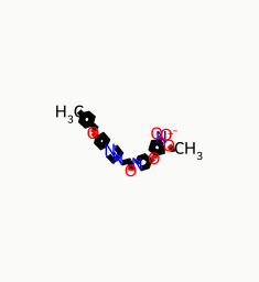 CCOc1cc(OC2CCN(C(=O)CCN3CCN(c4ccc(OCc5ccc(C)cc5)cc4)CC3)CC2)ccc1[N+](=O)[O-]